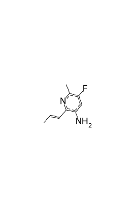 C/C=C/c1nc(C)c(F)cc1N